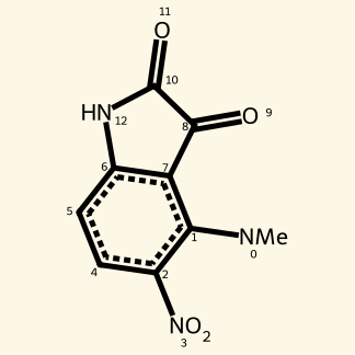 CNc1c([N+](=O)[O-])ccc2c1C(=O)C(=O)N2